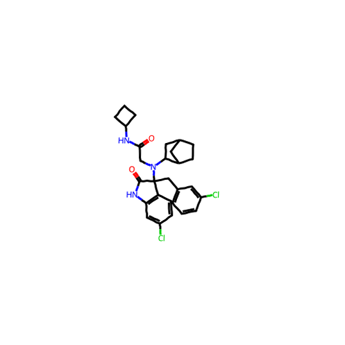 O=C(CN(C1CC2CCC1C2)C1(Cc2cccc(Cl)c2)C(=O)Nc2cc(Cl)ccc21)NC1CCC1